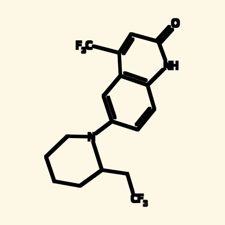 O=c1cc(C(F)(F)F)c2cc(N3CCCCC3CC(F)(F)F)ccc2[nH]1